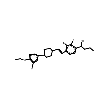 CCCC(O)c1ccc(/C=C/C2CCC(c3ccc(OCC)c(F)c3)CC2)c(F)c1F